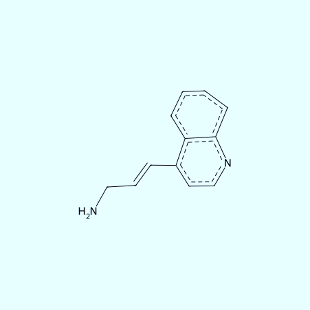 NC/C=C/c1ccnc2ccccc12